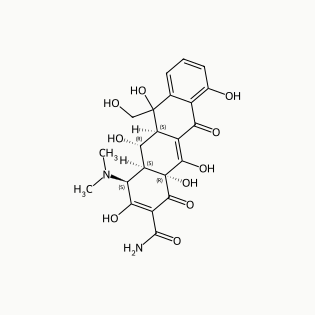 CN(C)[C@@H]1C(O)=C(C(N)=O)C(=O)[C@]2(O)C(O)=C3C(=O)c4c(O)cccc4C(O)(CO)[C@@H]3[C@@H](O)[C@H]12